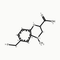 CN1CC(C(=O)O)Oc2ccc(CF)cc21